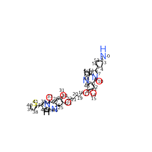 CNc1ccc(C2=CN3C(=O)c4cc(OC)c(OCCCCCOc5cc6c(cc5OC)C(=O)N5C=C(c7cccs7)C[C@H]5C=N6)cc4N=C[C@@H]3C2)cc1